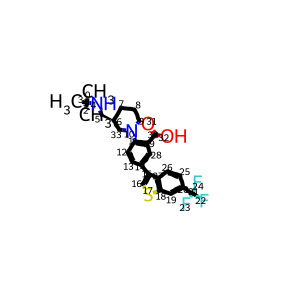 CC(C)(C)NC[C@H]1CCCN(c2ccc(-c3csc4cc(C(F)(F)F)ccc34)cc2C(=O)O)C1